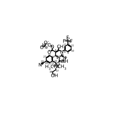 COC(=O)C1=C(C)N(c2cccc(C(F)(F)F)c2)c2n[nH]c(=O)n2[C@@H]1c1ccc(C#N)cc1C[N+](C)(C)CCO.O=C[O-]